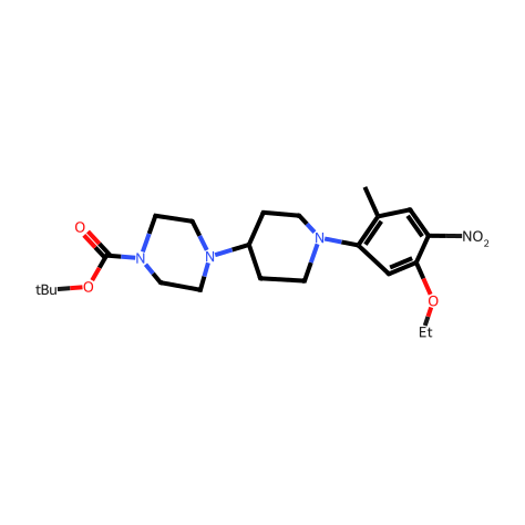 CCOc1cc(N2CCC(N3CCN(C(=O)OC(C)(C)C)CC3)CC2)c(C)cc1[N+](=O)[O-]